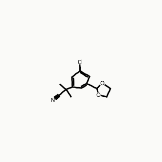 CC(C)(C#N)c1cc(Cl)cc(C2OCCO2)c1